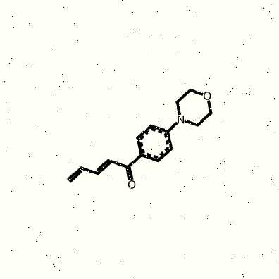 C=CC=CC(=O)c1ccc(N2CCOCC2)cc1